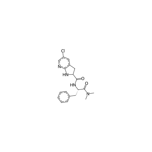 CN(C)C(=O)[C@H](Cc1ccccc1)NC(=O)C1Cc2cc(Cl)cnc2N1